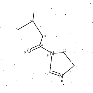 CC(C)CC(=O)N1C=NCC1